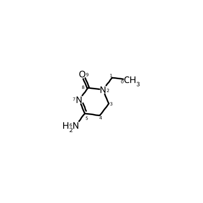 CCN1CCC(N)=NC1=O